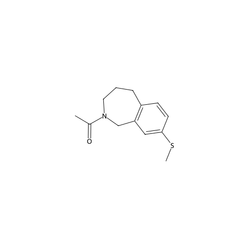 CSc1ccc2c(c1)CN(C(C)=O)CCC2